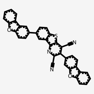 N#Cc1nc2c(sc3ccc(-c4ccc5oc6ccccc6c5c4)cc32)c(C#N)c1-c1ccc2c(c1)oc1ccccc12